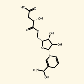 NC(O)C1=CN([C@@H]2O[C@H](COC(=O)[C@@H](O)CC(=O)O)[C@@H](O)[C@H]2O)C=CC1